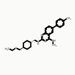 CCSC[C@H]1CC[C@H](CNc2nc(NC)c3cc(-c4ccc(C)cc4)ccc3n2)CC1